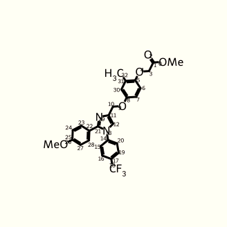 COC(=O)COc1ccc(OCc2cn(-c3ccc(C(F)(F)F)cc3)c(-c3ccc(OC)cc3)n2)cc1C